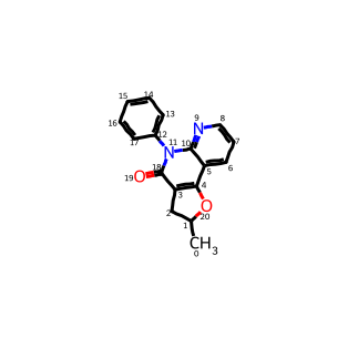 CC1Cc2c(c3cccnc3n(-c3ccccc3)c2=O)O1